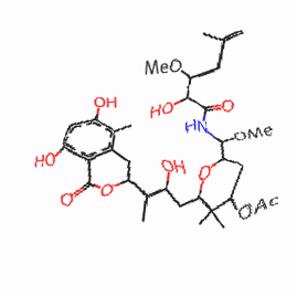 C=C(C)CC(OC)C(O)C(=O)NC(OC)C1CC(OC(C)=O)C(C)(C)C(CC(O)C(C)C2Cc3c(C)c(O)cc(O)c3C(=O)O2)O1